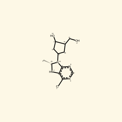 C[C@H]1Nc2c(Cl)ncnc2N1C1CC(O)C(CO)C1